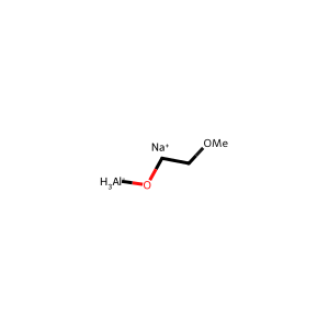 COCC[O][AlH3-].[Na+]